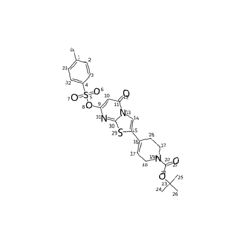 Cc1ccc(S(=O)(=O)Oc2cc(=O)n3cc(C4=CCN(C(=O)OC(C)(C)C)CC4)sc3n2)cc1